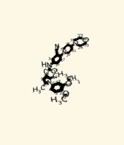 COc1ccc(-n2c(C)cc(OC(=O)Nc3ccc(N4CCC(N5CCOCC5)CC4)c(C#N)c3)c2C)cc1OC